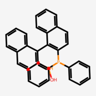 OPc1ccc2ccccc2c1-c1c(P(c2ccccc2)c2ccccc2)ccc2ccccc12